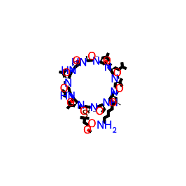 CC[C@@H]1NC(=O)[C@H](C[C@H](C)CCCCCCN)N(C)C(=O)[C@H](C(C)C)N(C)C(=O)[C@H](CCC(C)C)N(C)C(=O)[C@H](CC(C)C)N(C)C(=O)[C@H](C)NC(=O)[C@@H](C)NC(=O)[C@@H](CC(C)C)N(C)C(=O)[C@@H](C(C)C)NC(=O)[C@H](CC(C)C)N(C)C(=O)[C@@H](CSC(C)(C)CC(=O)OC)N(C)C1=O